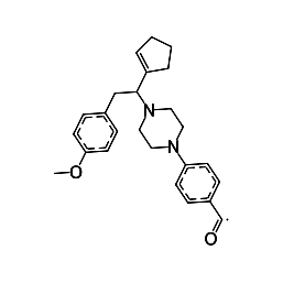 COc1ccc(CC(C2=CCCC2)N2CCN(c3ccc([C]=O)cc3)CC2)cc1